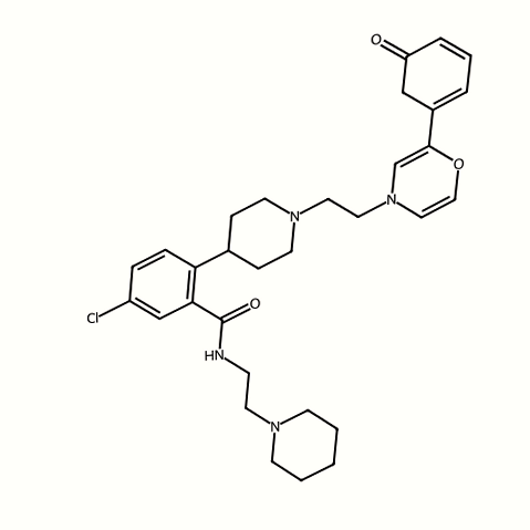 O=C1C=CC=C(C2=CN(CCN3CCC(c4ccc(Cl)cc4C(=O)NCCN4CCCCC4)CC3)C=CO2)C1